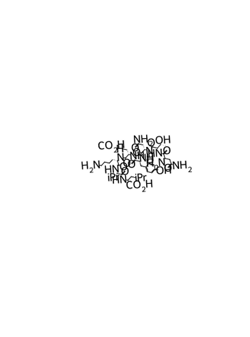 CC(C)C[C@H](NC(=O)[C@@H](NC(=O)[C@H](CCCCN)NC(=O)[C@H](CCC(=O)O)NC(=O)[C@H](Cc1ccc(O)cc1)NC(=O)[C@H](CC(N)=O)NC(=O)[C@@H](NC(=O)[C@@H](N)CC(N)=O)[C@@H](C)O)C(C)C)C(=O)O